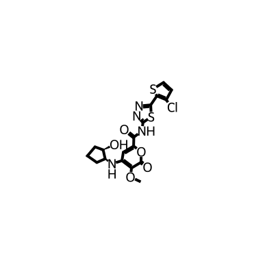 COc1c(N[C@H]2CCC[C@H]2O)cc(C(=O)Nc2nnc(-c3sccc3Cl)s2)oc1=O